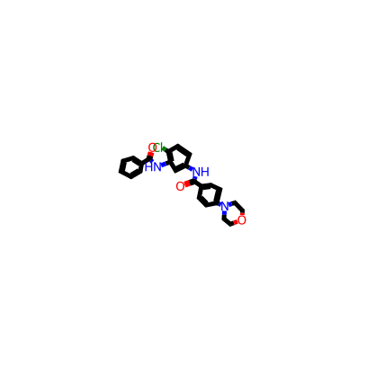 O=C(Nc1ccc(Cl)c(NC(=O)c2ccccc2)c1)c1ccc(N2CCOCC2)cc1